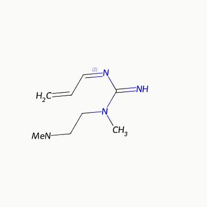 C=C/C=N\C(=N)N(C)CCNC